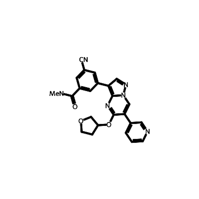 CNC(=O)c1cc(C#N)cc(-c2cnn3cc(-c4cccnc4)c(OC4CCOC4)nc23)c1